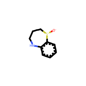 [O-][S+]1[C]CCNc2ccccc21